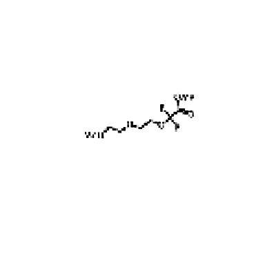 COCCOCCOC(F)(F)C(=O)OC